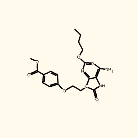 CCCCOc1nc(N)c2[nH]c(=O)n(CCOc3ccc(C(=O)OC)cc3)c2n1